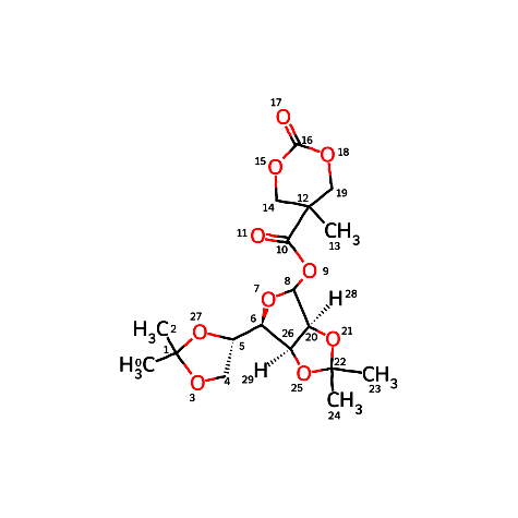 CC1(C)OC[C@@H]([C@H]2OC(OC(=O)C3(C)COC(=O)OC3)[C@H]3OC(C)(C)O[C@@H]23)O1